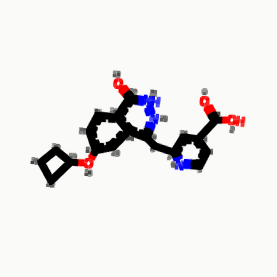 O=C(O)c1ccnc(Cc2n[nH]c(=O)c3ccc(OC4CCC4)cc23)c1